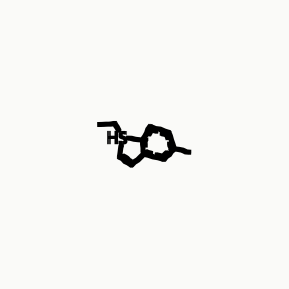 CC[SH]1C=Cc2cc(C)ccc21